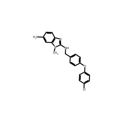 Cn1c(NCc2ccc(Oc3ccc(Cl)cc3)cc2)nc2ccc(N)cc21